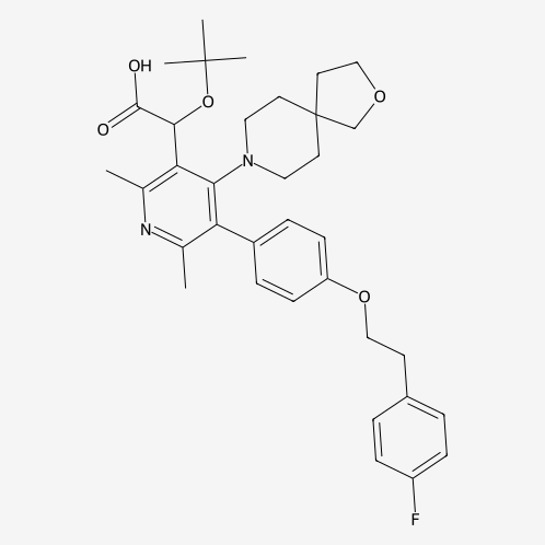 Cc1nc(C)c(C(OC(C)(C)C)C(=O)O)c(N2CCC3(CCOC3)CC2)c1-c1ccc(OCCc2ccc(F)cc2)cc1